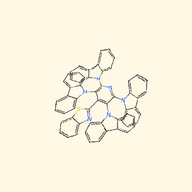 c1ccc2sc(-c3c(-n4c5ccccc5c5ccccc54)c(-n4c5ccccc5c5ccccc54)nc(-n4c5ccccc5c5ccccc54)c3-n3c4ccccc4c4ccccc43)nc2c1